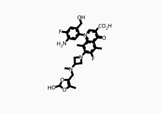 CC1=C(CN(C)C2CN(c3c(F)c(C)c4c(=O)c(C(=O)O)cn(-c5cc(N)c(F)cc5CO)c4c3C)C2)OC(O)O1